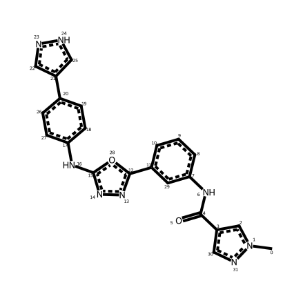 Cn1cc(C(=O)Nc2cccc(-c3nnc(Nc4ccc(-c5cn[nH]c5)cc4)o3)c2)cn1